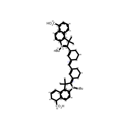 CCCCN1/C(=C2C=C(/C=C3/C=C(C4=[N+](CCCC)c5ccc6c(C(=O)O)cccc6c5C4(C)C)CCC3)CCC/2)C(C)(C)c2c1ccc1c2C=CCC1C(=O)O